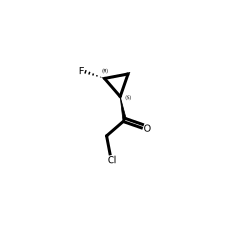 O=C(CCl)[C@@H]1C[C@H]1F